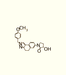 COc1ccc(Cn2cc3c(n2)CCc2cc(N4CCC(O)C4=O)ccc2-3)cc1